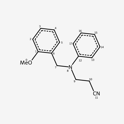 COc1ccccc1CN(CCC#N)c1ccccc1